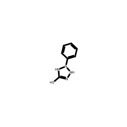 SC1=NNN(c2ccccc2)N1